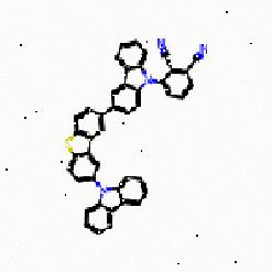 N#Cc1cccc(-n2c3ccccc3c3cc(-c4ccc5sc6ccc(-n7c8ccccc8c8ccccc87)cc6c5c4)ccc32)c1C#N